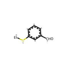 CCSc1cccc(C=O)c1